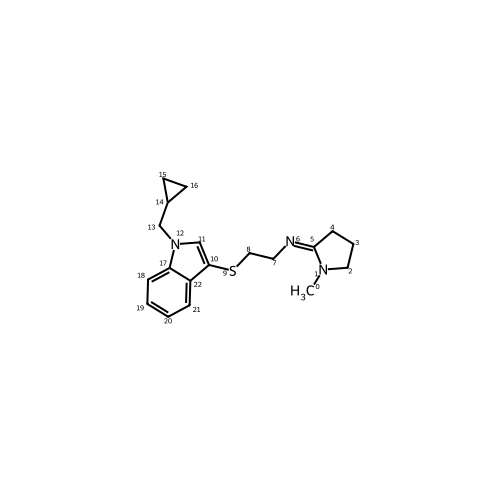 CN1CCCC1=NCCSc1cn(CC2CC2)c2ccccc12